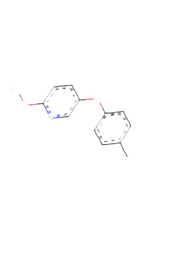 CCOc1ccc(Oc2ccc(C)cc2)cn1